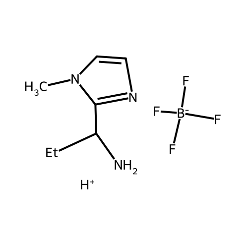 CCC(N)c1nccn1C.F[B-](F)(F)F.[H+]